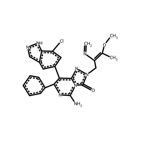 C=N/C(Cn1nc2c(-c3cc(Cl)c4[nH]ncc4c3)c(-c3ccccc3)nc(N)n2c1=O)=C(/C)OC